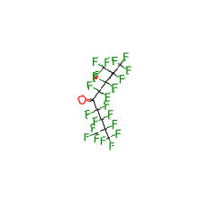 O=C(C(F)(F)C(F)(F)C(F)(C(F)(F)F)C(F)(F)F)C(F)(F)C(F)(F)C(F)(C(F)(F)F)C(F)(F)F